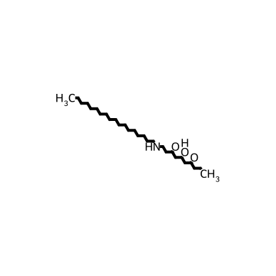 CCCCCCCCCCCCCCCCCCNCCC(=O)CC(O)CC(=O)CCC